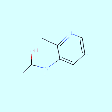 Cc1ncccc1NC(C)O